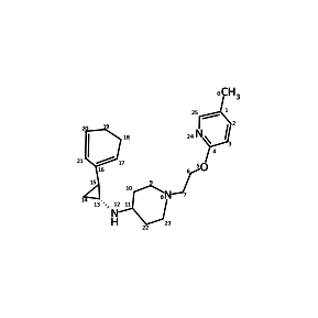 Cc1ccc(OCCN2CCC(N[C@@H]3CC3C3=CCCC=C3)CC2)nc1